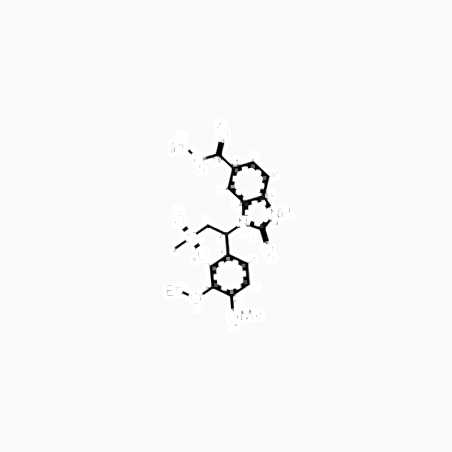 CCOc1cc(C(CS(C)(=O)=O)n2c(=O)[nH]c3ccc(C(=O)OC(C)C)cc32)ccc1OC